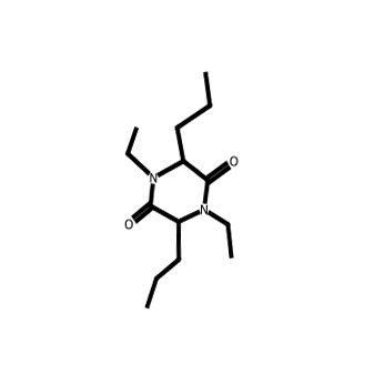 CCCC1C(=O)N(CC)C(CCC)C(=O)N1CC